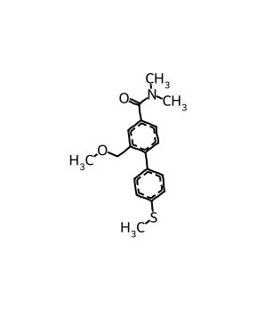 COCc1cc(C(=O)N(C)C)ccc1-c1ccc(SC)cc1